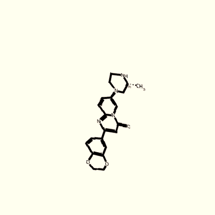 C[C@@H]1CN(c2ccc3nc(-c4ccc5c(c4)OCCO5)cc(=O)n3c2)CCN1